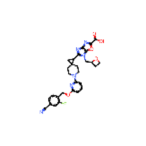 N#Cc1ccc(COc2cccc(N3CCC4(CC3)CC4c3nc4nc(C(=O)O)oc4n3CC3CCO3)n2)c(F)c1